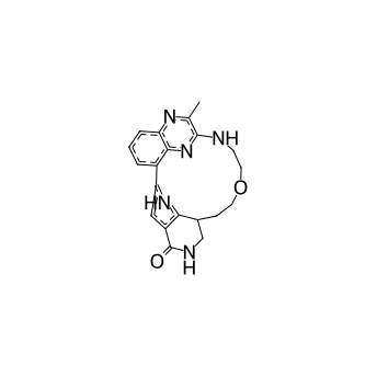 Cc1nc2cccc3c2nc1NCCOCCC1CNC(=O)c2cc-3[nH]c21